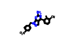 Cc1c(C#N)cccc1-c1nc(N)nc2c1cnn2Cc1ccc([N+](=O)[O-])cc1